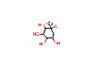 CCCCC1(O)CC(O)C(O)C(O)C1O